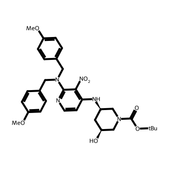 COc1ccc(CN(Cc2ccc(OC)cc2)c2nccc(N[C@@H]3C[C@H](O)CN(C(=O)OC(C)(C)C)C3)c2[N+](=O)[O-])cc1